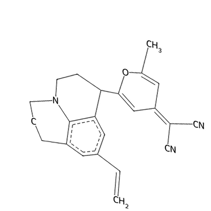 C=Cc1cc2c3c(c1)C(C1=CC(=C(C#N)C#N)C=C(C)O1)CCN3CCC2